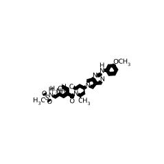 C/C=C\C(=C/C(=N)CNS(C)(=O)=O)C(=O)N[C@H](C)C[C@@H](CCC)N1Cc2cnc(Nc3cccc(OC)c3)nc2C1